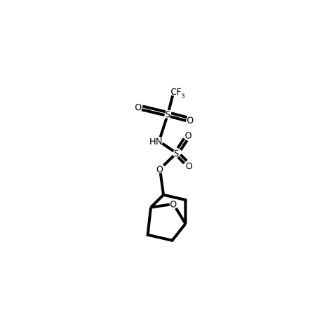 O=S(=O)(NS(=O)(=O)C(F)(F)F)OC1CC2CCC1O2